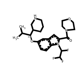 CC(C)[C@H](Oc1ccc2c(c1)cc(C(=O)N1CCOCC1)n2C(F)C(F)F)C1CCCNC1